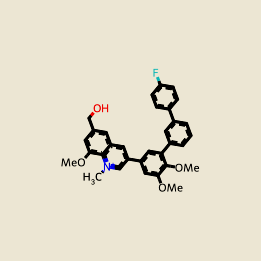 COc1cc(-c2cc3cc(CO)cc(OC)c3[n+](C)c2)cc(-c2cccc(-c3ccc(F)cc3)c2)c1OC